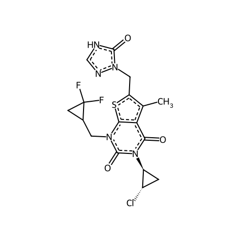 Cc1c(Cn2nc[nH]c2=O)sc2c1c(=O)n([C@H]1C[C@@H]1Cl)c(=O)n2CC1CC1(F)F